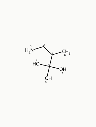 CC(CN)C(O)(O)O